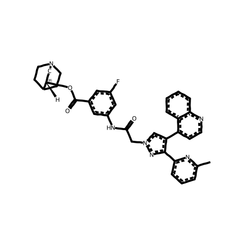 Cc1cccc(-c2nn(CC(=O)Nc3cc(F)cc(C(=O)O[C@H]4CN5CCC4CC5)c3)cc2-c2ccnc3ccccc23)n1